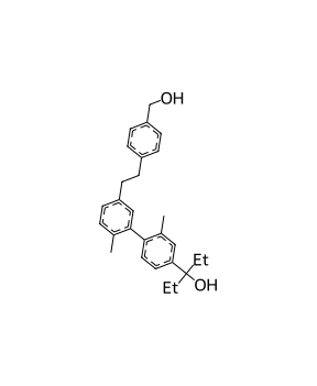 CCC(O)(CC)c1ccc(-c2cc(CCc3ccc(CO)cc3)ccc2C)c(C)c1